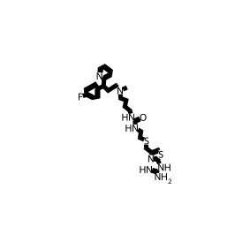 CN(CCCCNC(=O)NCCSCc1csc(NC(=N)N)n1)CCC(c1ccc(F)cc1)c1ccccn1